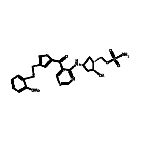 COc1ccccc1CCc1csc(C(=O)c2cncnc2N[C@@H]2C[C@H](COS(N)(=O)=O)[C@@H](O)C2)c1